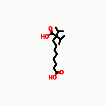 CC(C)C(CCCCCCCC(=O)O)(C(=O)O)C(C)C